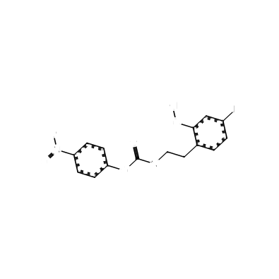 COc1cc(F)ccc1CCNC(=O)Oc1ccc([N+](=O)[O-])cc1